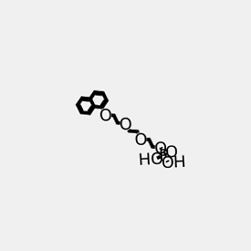 O=P(O)(O)OCCOCCOCCOc1cccc2ccccc12